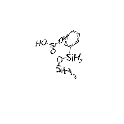 O=[Si](O)O.[SiH3]O[SiH2]c1ccccc1